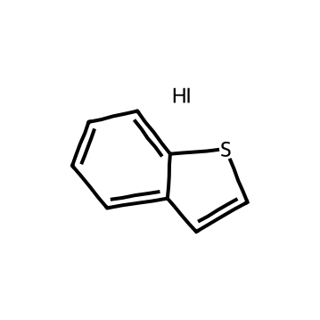 I.c1ccc2sccc2c1